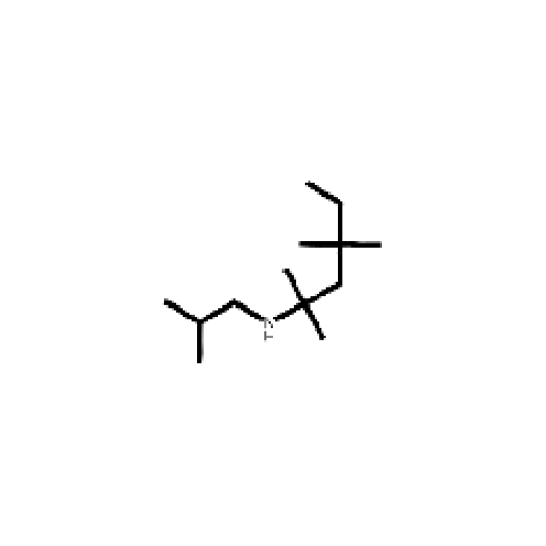 CCC(C)(C)CC(C)(C)NCC(C)C